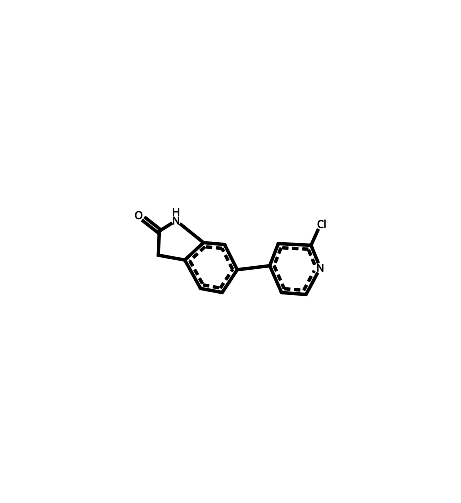 O=C1Cc2ccc(-c3ccnc(Cl)c3)cc2N1